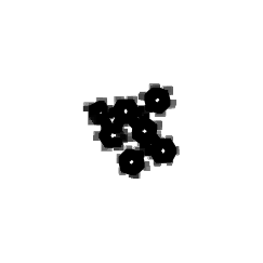 c1ccc(-n2c3ccccc3c3cc4c(cc32)c2c3c5ncccc5c5nccn5c3ccc2n4-c2ccccc2)cc1